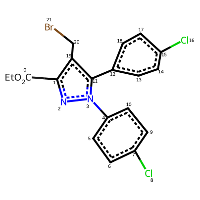 CCOC(=O)c1nn(-c2ccc(Cl)cc2)c(-c2ccc(Cl)cc2)c1CBr